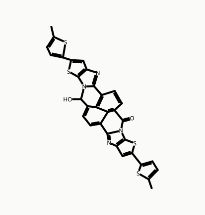 Cc1ccc(-c2cc3nc4n(c3s2)C(O)c2ccc3c5c2c-4ccc5c(=O)n2c3nc3cc(-c4ccc(C)s4)sc32)s1